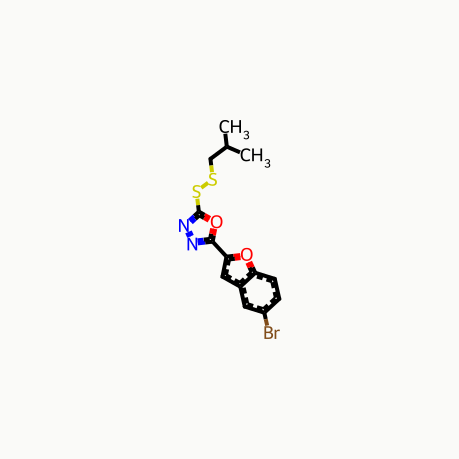 CC(C)CSSc1nnc(-c2cc3cc(Br)ccc3o2)o1